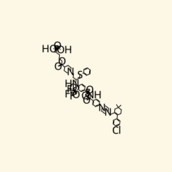 CC1(C)CCC(c2ccc(Cl)cc2)=C(CN2CCN(c3ccc(C(=O)NS(=O)(=O)c4ccc(NC(CCN5CCC(C(=O)OCCCP(=O)(O)O)CC5)CSc5ccccc5)c(S(=O)(=O)C(F)(F)F)c4)cc3)CC2)C1